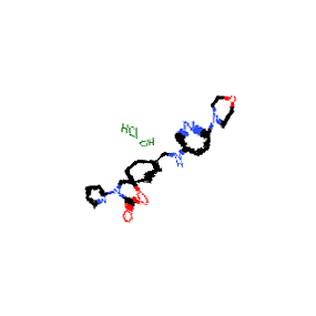 Cl.Cl.O=C1O[C@]2(CC[C@H](CNc3ccc(N4CCOCC4)nc3)CC2)CN1c1ccccn1